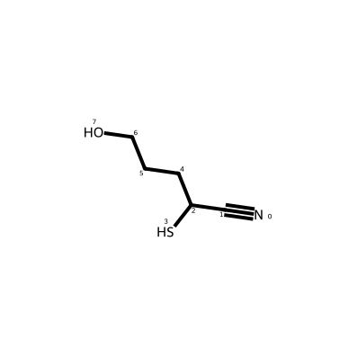 N#CC(S)CCCO